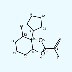 C=C(C)C(=O)OC1(C2CCCC2)C(C)CCCC1C